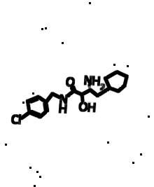 N[C@H](CC1CCCCC1)C(O)C(=O)NCc1ccc(Cl)cc1